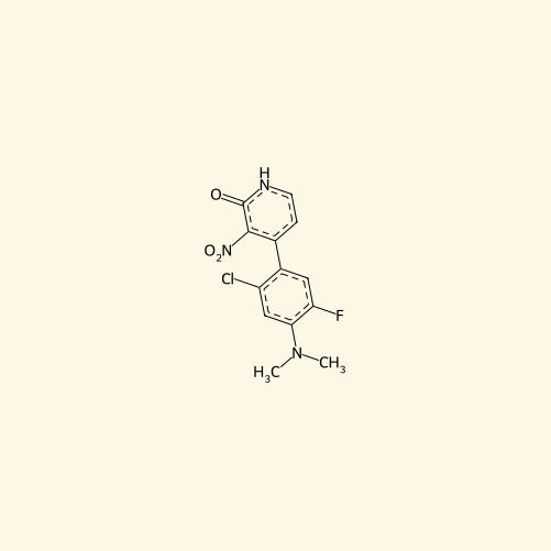 CN(C)c1cc(Cl)c(-c2cc[nH]c(=O)c2[N+](=O)[O-])cc1F